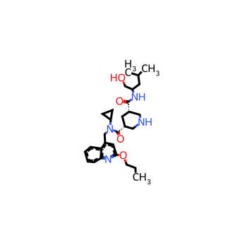 CCCOc1cc(CN(C(=O)[C@H]2CNC[C@@H](C(=O)NC(CO)CC(C)C)C2)C2CC2)c2ccccc2n1